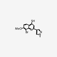 COc1ccc2c(S)cc(-c3cnn(C)c3)nc2c1Br